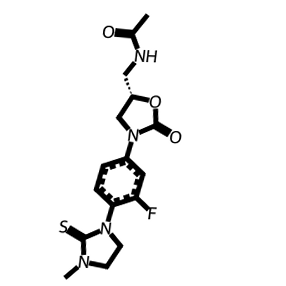 CC(=O)NC[C@H]1CN(c2ccc(N3CCN(C)C3=S)c(F)c2)C(=O)O1